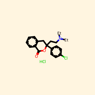 CCN(CC)CCC1(c2ccc(Cl)cc2)Cc2ccccc2C(=O)O1.Cl